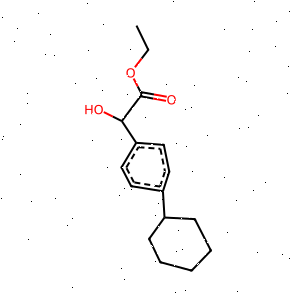 CCOC(=O)C(O)c1ccc(C2CCCCC2)cc1